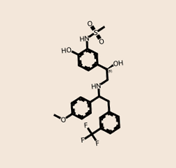 COc1ccc(C(Cc2cccc(C(F)(F)F)c2)NC[C@H](O)c2ccc(O)c(NS(C)(=O)=O)c2)cc1